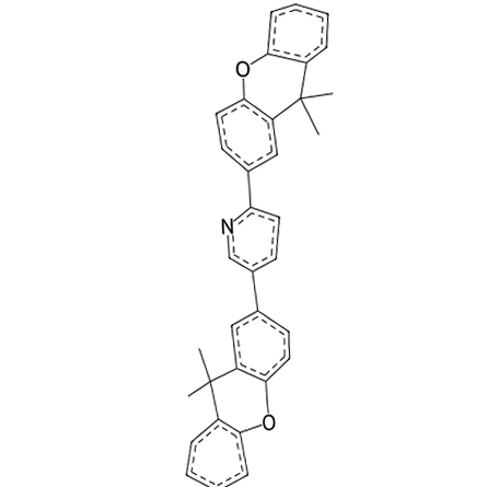 CC1(C)c2ccccc2Oc2ccc(-c3ccc(-c4ccc5c(c4)C(C)(C)c4ccccc4O5)nc3)cc21